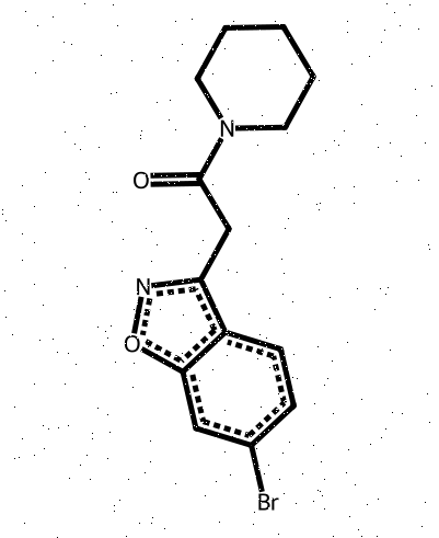 O=C(Cc1noc2cc(Br)ccc12)N1CCCCC1